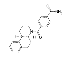 NC(=O)c1ccc(C(=O)N2CCC[C@@H]3c4ccccc4CC[C@@H]32)cc1